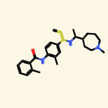 C=S=S(NC(C)C1CCCN(C)CC1)c1ccc(NC(=O)c2ccccc2C)c(C)c1